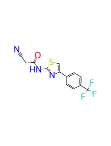 N#CCC(=O)Nc1nc(-c2ccc(C(F)(F)F)cc2)cs1